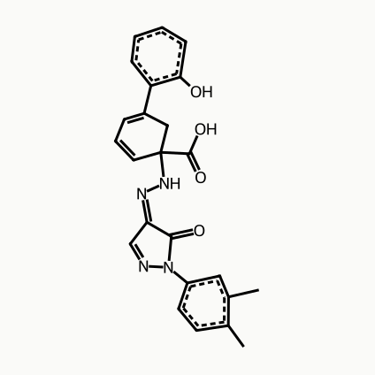 Cc1ccc(N2N=CC(=NNC3(C(=O)O)C=CC=C(c4ccccc4O)C3)C2=O)cc1C